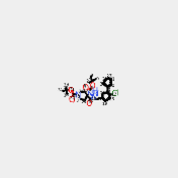 CC(C)(C)OC(=O)NC1(C(=O)NCc2ccc(Cl)c(-c3ccccc3)c2)CCN(C(=O)OC(C)(C)C)CC1